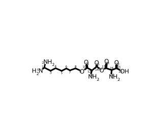 NC(N)CCCCCCOC(=O)C(N)C(=O)OC(=O)C(N)C(=O)O